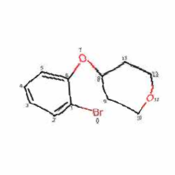 Brc1ccccc1OC1CCOCC1